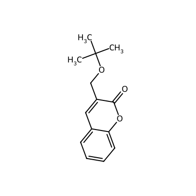 CC(C)(C)OCc1cc2ccccc2oc1=O